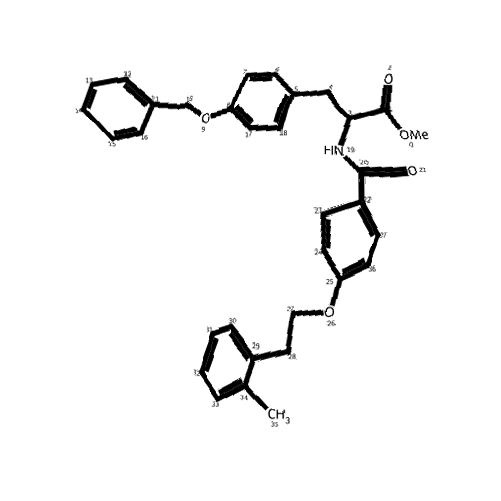 COC(=O)C(Cc1ccc(OCc2ccccc2)cc1)NC(=O)c1ccc(OCCc2ccccc2C)cc1